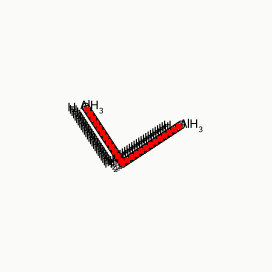 O.O.O.O.O.O.O.O.O.O.O.O.O.O.O.O.O.O.O.O.O.O.O.O.O.O.O.O.O.O.O.O.O.O.O.O.O.O.O.O.O.O.O.O.O.O.O.O.O.O.[AlH3].[AlH3]